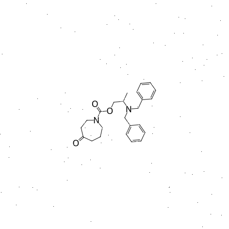 CC(COC(=O)N1CCCC(=O)CC1)N(Cc1ccccc1)Cc1ccccc1